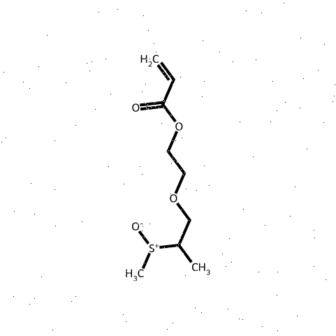 C=CC(=O)OCCOCC(C)[S+](C)[O-]